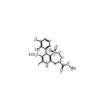 CCOC(=O)C1=C(C)NC2=C(C1c1cccc(Cl)c1Cl)S(=O)(=O)CCN(C(=O)OC(C)(C)C)C2